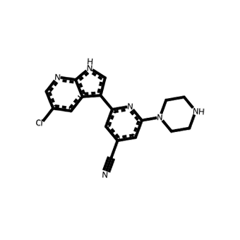 N#Cc1cc(-c2c[nH]c3ncc(Cl)cc23)nc(N2CCNCC2)c1